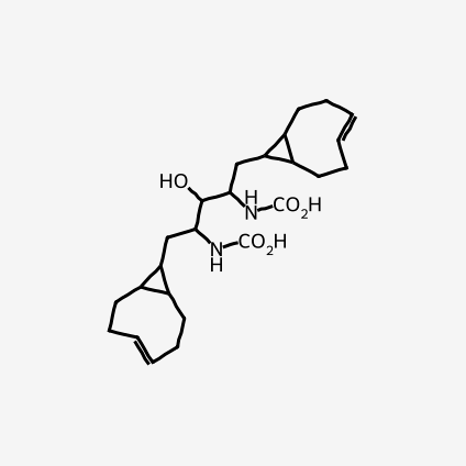 O=C(O)NC(CC1C2CC/C=C/CCC21)C(O)C(CC1C2CC/C=C/CCC21)NC(=O)O